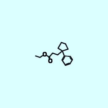 CCOC(=O)CCC1(c2ccccc2)CCCC1